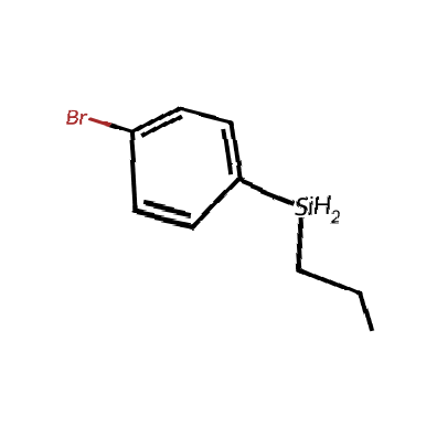 CCC[SiH2]c1ccc(Br)cc1